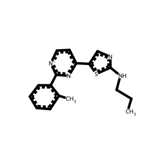 CCCNc1ncc(-c2ccnc(-c3ccccc3C)n2)s1